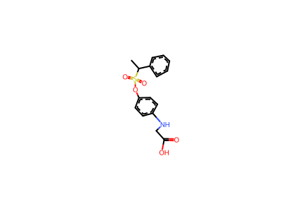 CC(c1ccccc1)S(=O)(=O)Oc1ccc(NCC(=O)O)cc1